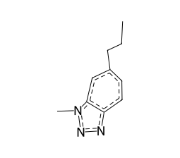 CCCc1ccc2nnn(C)c2c1